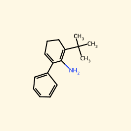 CC(C)(C)C1=C(N)C(c2ccccc2)=CCC1